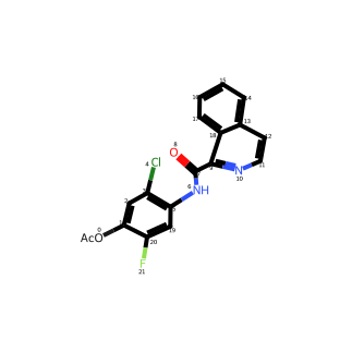 CC(=O)Oc1cc(Cl)c(NC(=O)c2nccc3ccccc23)cc1F